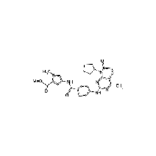 COC(=O)c1cc(NC(=O)c2ccc(Nc3nc(C)c4ccc(=O)n(C5CCCC5)c4n3)cc2)cn1C